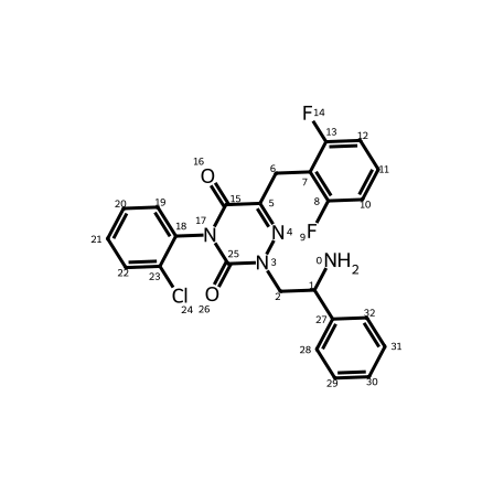 NC(Cn1nc(Cc2c(F)cccc2F)c(=O)n(-c2ccccc2Cl)c1=O)c1ccccc1